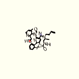 C=CCCN(/C(=N/C)c1cc(Cl)c(-c2c(O)cccc2F)nc1N(C=O)C1C(C)=CC=NC1CC)C(C)CNC=O